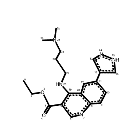 CCOC(=O)c1cnc2ccc(-c3cn[nH]c3)cc2c1NCCCN(C)C